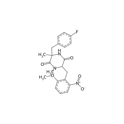 COc1cccc([N+](=O)[O-])c1CC1C(=O)NC(C)(Cc2ccc(F)cc2)C(=O)N1C